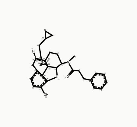 CN(C(=O)CCc1ccccc1)C1CC[C@@]2(O)[C@H]3Cc4ccc(O)c5c4[C@@]2(CCN3CC2CC2)C1O5